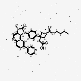 CCCCOC(=O)N1CC(CC(=O)O)(c2ccc(-n3c(=O)n(C)c4cnc5ccc(-c6cccnc6)cc5c43)cc2)C1